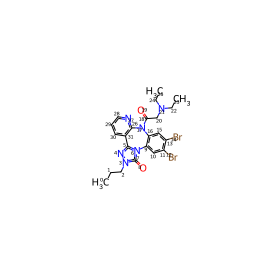 CCCn1nc2n(c1=O)-c1cc(Br)c(Br)cc1N(C(=O)CN(CC)CC)c1ncccc1-2